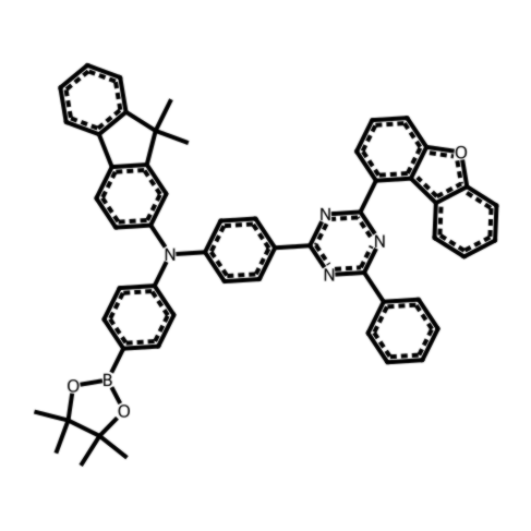 CC1(C)c2ccccc2-c2ccc(N(c3ccc(B4OC(C)(C)C(C)(C)O4)cc3)c3ccc(-c4nc(-c5ccccc5)nc(-c5cccc6oc7ccccc7c56)n4)cc3)cc21